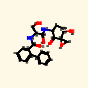 CC(C)CC(NC(=O)[C@H](CO)NC(=O)c1ccccc1-c1ccccc1)C(=O)C1(CO)CO1